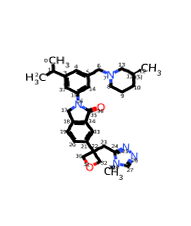 CC(C)c1cc(CN2CCC[C@H](C)C2)cc(N2Cc3ccc(C4(Cc5nncn5C)COC4)cc3C2=O)c1